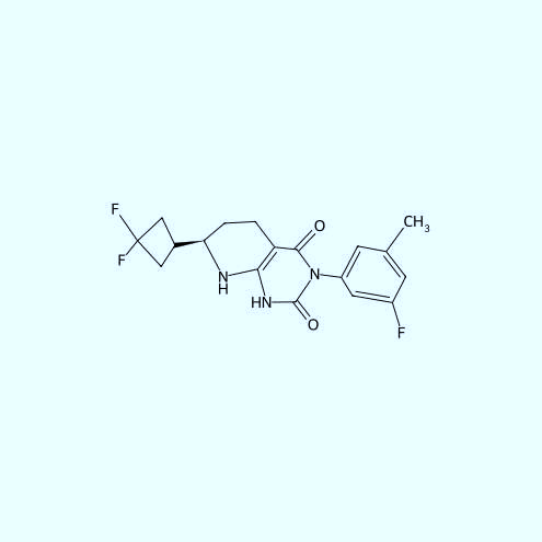 Cc1cc(F)cc(-n2c(=O)[nH]c3c(c2=O)CC[C@H](C2CC(F)(F)C2)N3)c1